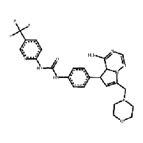 NC1=NC=NN2C(CN3CCOCC3)=CC(c3ccc(NC(=O)Nc4ccc(C(F)(F)F)cn4)cc3)C12